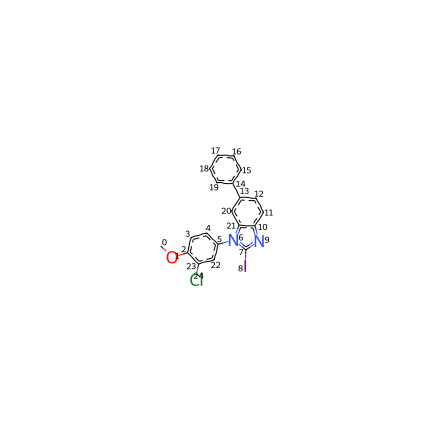 COc1ccc(-n2c(I)nc3ccc(-c4ccccc4)cc32)cc1Cl